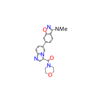 CNc1noc2cc(-c3ccc4ncc(C(=O)N5CCOCC5)n4c3)ccc12